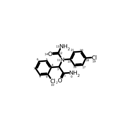 NC(=O)C(c1ccccc1Cl)N(C(N)=O)c1ccc(Cl)cc1